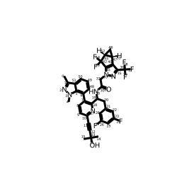 Cc1nn(C)c2c(-c3ccc(C#CC(C)(C)O)nc3C(Cc3cc(F)cc(F)c3)NC(=O)Cn3nc(C(F)(F)F)c4c3C(F)(F)[C@@H]3C[C@H]43)cccc12